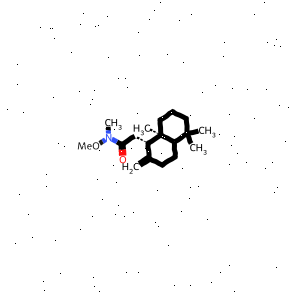 C=C1CCC2C(C)(C)CCC[C@]2(C)[C@H]1CC(=O)N(C)OC